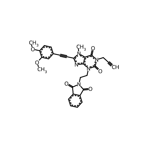 C#CCn1c(=O)c2c(nc(C#Cc3ccc(OC)c(OC)c3)n2C)n(CCN2C(=O)c3ccccc3C2=O)c1=O